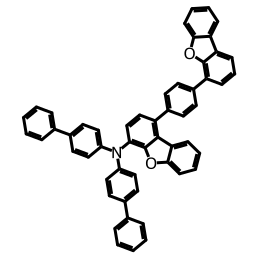 c1ccc(-c2ccc(N(c3ccc(-c4ccccc4)cc3)c3ccc(-c4ccc(-c5cccc6c5oc5ccccc56)cc4)c4c3oc3ccccc34)cc2)cc1